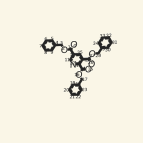 O=C(OCc1ccccc1)c1cnc(C(=O)OCc2ccccc2)c(C(=O)OCc2ccccc2)c1